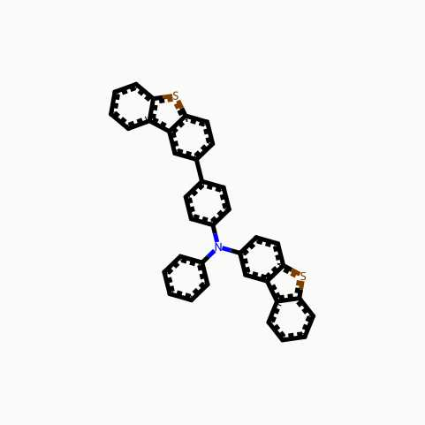 c1ccc(N(c2ccc(-c3ccc4sc5ccccc5c4c3)cc2)c2ccc3sc4ccccc4c3c2)cc1